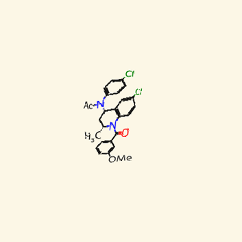 COc1cccc(C(=O)N2c3ccc(Cl)cc3[C@@H](N(C(C)=O)c3ccc(Cl)cc3)C[C@H]2C)c1